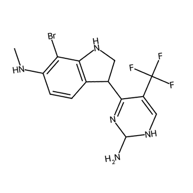 CNc1ccc2c(c1Br)NCC2C1=NC(N)NC=C1C(F)(F)F